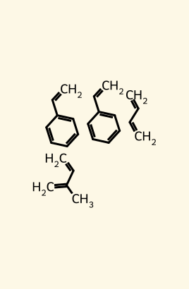 C=CC(=C)C.C=CC=C.C=Cc1ccccc1.C=Cc1ccccc1